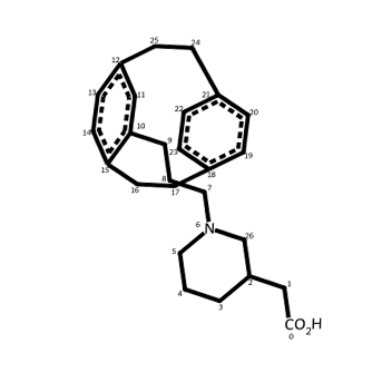 O=C(O)CC1CCCN(CCCc2cc3ccc2CCc2ccc(cc2)CC3)C1